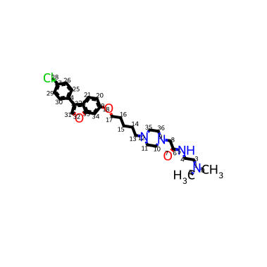 CN(C)CCNC(=O)CN1CCN(CCCCCOc2ccc3c(-c4ccc(Cl)cc4)coc3c2)CC1